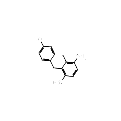 Cc1c(N)ccc(N)c1Cc1ccc(O)cc1